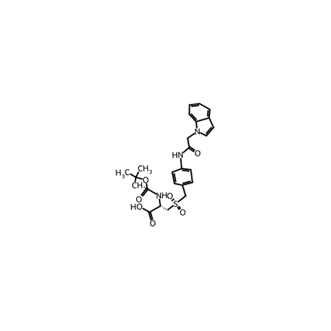 CC(C)(C)OC(=O)N[C@H](CS(=O)(=O)Cc1ccc(NC(=O)Cn2ccc3ccccc32)cc1)C(=O)O